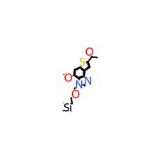 COc1cc2sc(C(C)=O)cc2c2ncn(COCC[Si](C)(C)C)c12